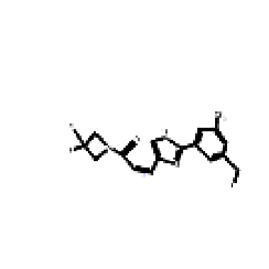 O=C(/C=C\c1c[nH]c(-c2cc(CF)cc(C(F)(F)F)c2)n1)N1CC(F)(F)C1